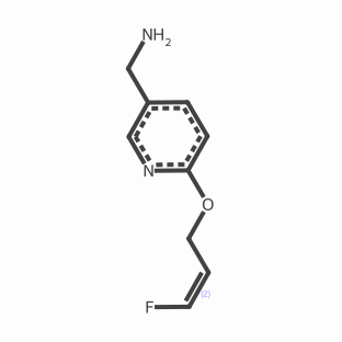 NCc1ccc(OC/C=C\F)nc1